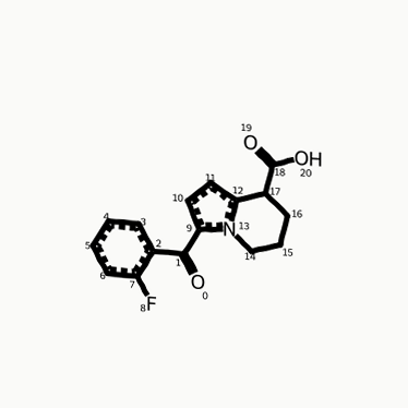 O=C(c1ccccc1F)c1ccc2n1CCCC2C(=O)O